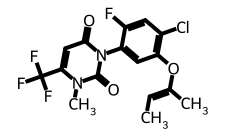 CC=C(C)Oc1cc(-n2c(=O)cc(C(F)(F)F)n(C)c2=O)c(F)cc1Cl